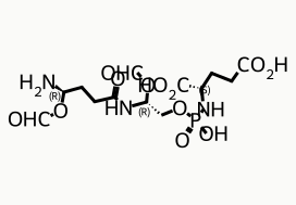 N[C@@H](CCC(=O)N[C@@H](COP(=O)(O)N[C@@H](CCC(=O)O)C(=O)O)OC=O)OC=O